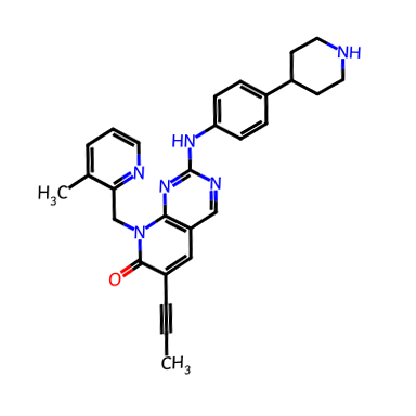 CC#Cc1cc2cnc(Nc3ccc(C4CCNCC4)cc3)nc2n(Cc2ncccc2C)c1=O